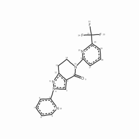 O=C1c2cn(-c3ccccn3)nc2CCN1c1cccc(C(F)(F)F)n1